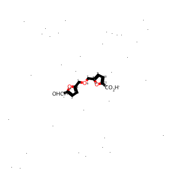 O=Cc1ccc(COCc2ccc(C(=O)O)o2)o1